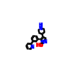 On1ncc(C2CCNCC2)c1-c1cccc(-c2ccccn2)c1